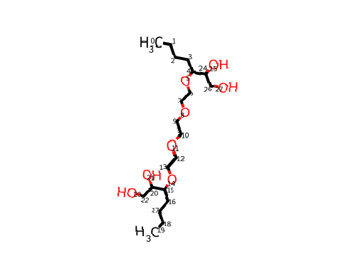 CCCCC(OCCOCCOCCOC(CCCC)C(O)CO)C(O)CO